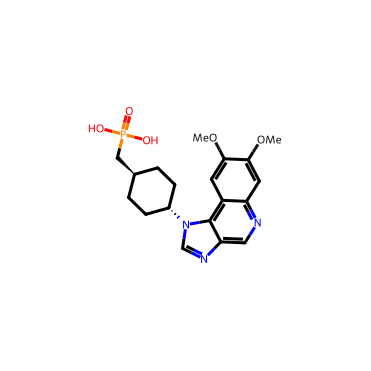 COc1cc2ncc3ncn([C@H]4CC[C@H](CP(=O)(O)O)CC4)c3c2cc1OC